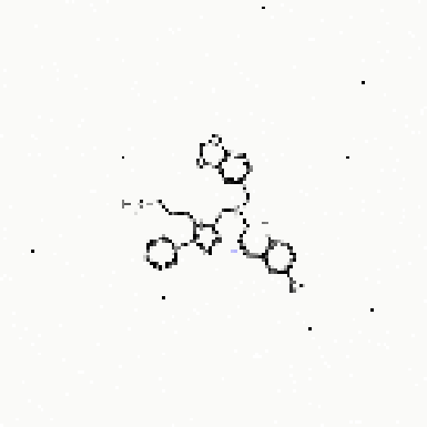 CCCCn1c(CN(C/C=C\c2cc(Br)ccc2F)Cc2ccc3c(c2)OCO3)cnc1-c1ccccc1